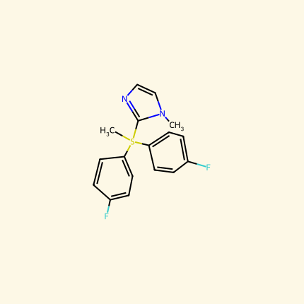 Cn1ccnc1S(C)(c1ccc(F)cc1)c1ccc(F)cc1